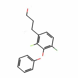 N[C@H](CCO)c1ccc(Cl)c(Oc2ccccc2)c1F